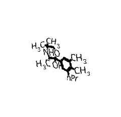 CCCc1cc(C2(O)OCC(C)(C)NC2C)cc(C)c1C